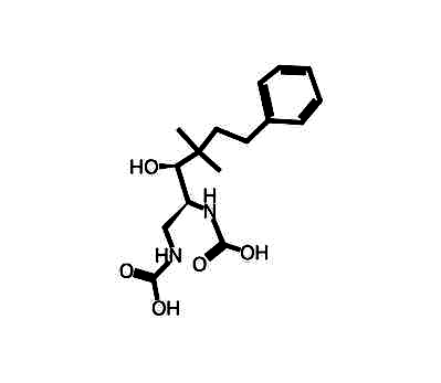 CC(C)(CCc1ccccc1)[C@H](O)[C@H](CNC(=O)O)NC(=O)O